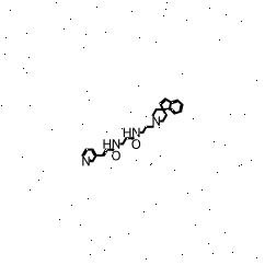 O=C(/C=C/c1cccnc1)NCCC(=O)NCCCN1CCC2(C=Cc3ccccc32)CC1